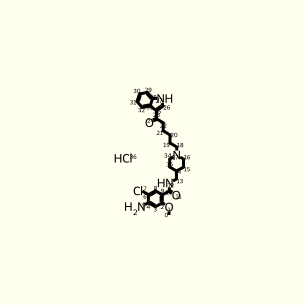 COc1cc(N)c(Cl)cc1C(=O)NCC1CCN(CCCCCC(=O)c2c[nH]c3ccccc23)CC1.Cl